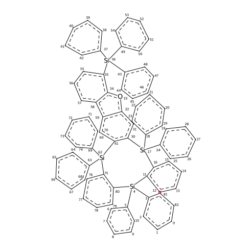 c1ccc([Si]2(c3ccccc3)c3ccccc3[Si](c3ccccc3)(c3ccccc3)c3cc4oc5c([Si](c6ccccc6)(c6ccccc6)c6ccccc6)cccc5c4cc3[Si](c3ccccc3)(c3ccccc3)c3ccccc32)cc1